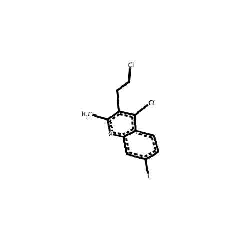 Cc1nc2cc(I)ccc2c(Cl)c1CCCl